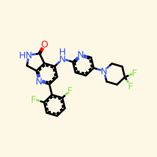 O=C1NCc2nc(-c3c(F)cccc3F)cc(Nc3ccc(N4CCC(F)(F)CC4)cn3)c21